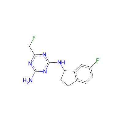 Nc1nc(CF)nc(NC2CCc3ccc(F)cc32)n1